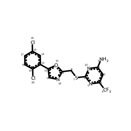 Nc1cc(C(F)(F)F)nc(SCc2ncc(-c3cc(Cl)ccc3Cl)o2)n1